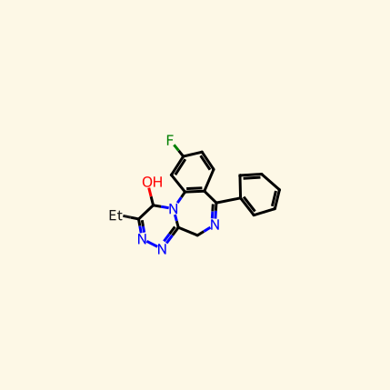 CCC1=NN=C2CN=C(c3ccccc3)c3ccc(F)cc3N2C1O